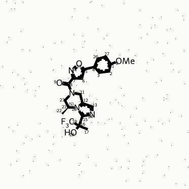 COc1ccc(-c2cc(C(=O)N3Cc4cnc(C(C)(O)C(F)(F)F)n4[C@@H](C)C3)no2)cc1